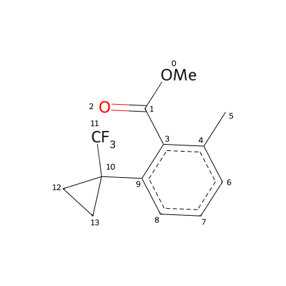 COC(=O)c1c(C)cccc1C1(C(F)(F)F)CC1